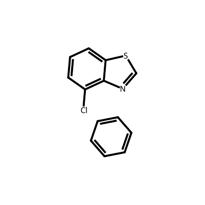 Clc1cccc2scnc12.c1ccccc1